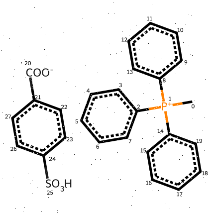 C[P+](c1ccccc1)(c1ccccc1)c1ccccc1.O=C([O-])c1ccc(S(=O)(=O)O)cc1